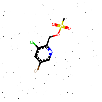 CS(=O)(=O)OCc1ncc(Br)cc1Cl